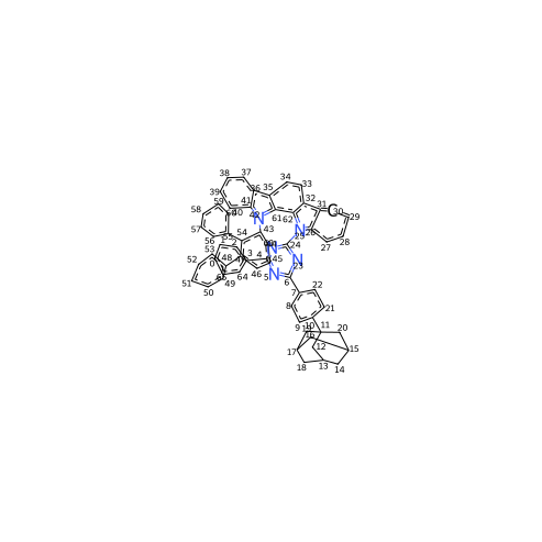 c1ccc(-c2nc(-c3ccc(C45CC6CC(CC(C6)C4)C5)cc3)nc(-n3c4ccccc4c4ccc5c6ccccc6n(-c6cccc(-c7ccccc7)c6-c6ccccc6)c5c43)n2)cc1